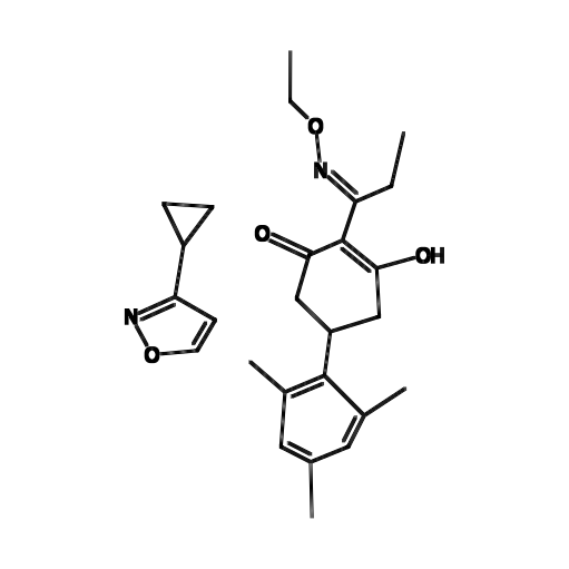 CCON=C(CC)C1=C(O)CC(c2c(C)cc(C)cc2C)CC1=O.c1cc(C2CC2)no1